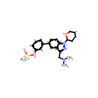 CN(C)Cc1nn(C2CCCCO2)c2ccc(-c3cccc(OS(C)=O)c3)cc12